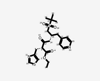 CCOC(=O)[C@H](Cc1cscn1)C(=O)C[C@@H](Cc1ccncc1)CS(=O)(=O)C(C)(C)C